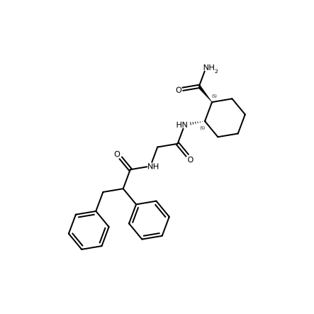 NC(=O)[C@H]1CCCC[C@@H]1NC(=O)CNC(=O)C(Cc1ccccc1)c1ccccc1